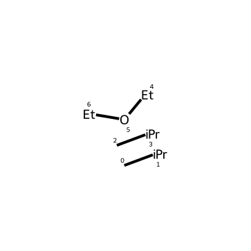 CC(C)C.CC(C)C.CCOCC